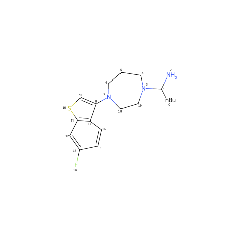 CCCCC(N)N1CCCN(c2csc3cc(F)ccc23)CC1